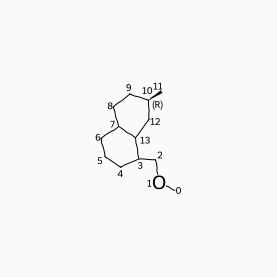 COCC1CCCC2CC[C@@H](C)CC21